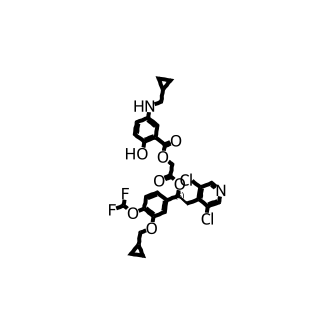 O=C(COC(=O)c1cc(NCC2CC2)ccc1O)O[C@@H](Cc1c(Cl)cncc1Cl)c1ccc(OC(F)F)c(OCC2CC2)c1